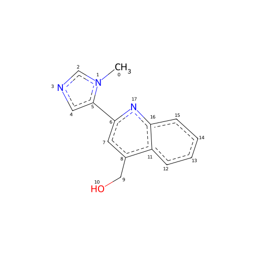 Cn1cncc1-c1cc(CO)c2ccccc2n1